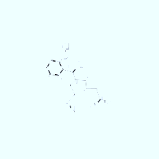 NCCCC(CCCC(=O)O)C(=O)c1ccccc1OCl